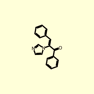 O=C(C(=Cc1ccccc1)n1ccnc1)c1ccccc1